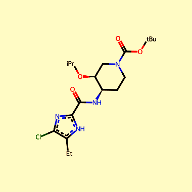 CCc1[nH]c(C(=O)N[C@@H]2CCN(C(=O)OC(C)(C)C)C[C@@H]2OC(C)C)nc1Cl